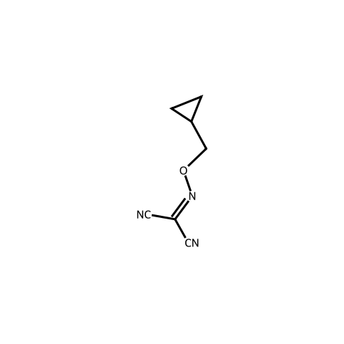 N#CC(C#N)=NOCC1CC1